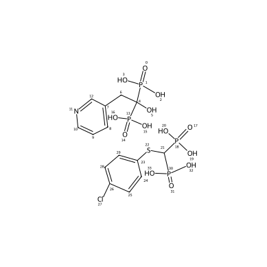 O=P(O)(O)C(O)(Cc1cccnc1)P(=O)(O)O.O=P(O)(O)C(Sc1ccc(Cl)cc1)P(=O)(O)O